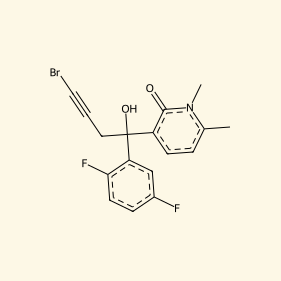 Cc1ccc(C(O)(CC#CBr)c2cc(F)ccc2F)c(=O)n1C